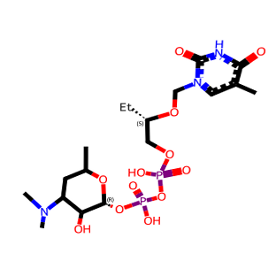 CC[C@@H](COP(=O)(O)OP(=O)(O)O[C@H]1OC(C)CC(N(C)C)C1O)OCn1cc(C)c(=O)[nH]c1=O